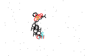 CC(C)[C@H](O)CC(C[C@@H](C)[C@H]1CC[C@H]2[C@@H]3CC[C@H]4C[C@](O)(C(F)(F)F)CC[C@]4(C)[C@H]3CC[C@]12C)S(=O)(=O)c1ccccc1